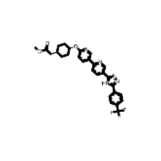 COC(=O)C[C@H]1CC[C@H](Oc2ccc(-c3ccc(-c4nnc(-c5ccc(C(F)(F)F)cc5)[nH]4)cn3)cn2)CC1